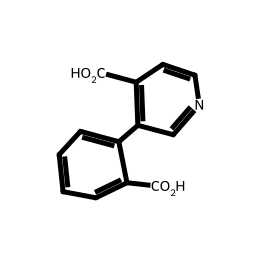 O=C(O)c1ccccc1-c1cnccc1C(=O)O